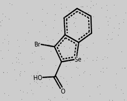 O=C(O)c1[se]c2ccccc2c1Br